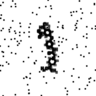 CNc1ccc(Oc2ccnc(NC(=O)CN3CCC(N(C)C)CC3)c2)cc1[N+](=O)[O-]